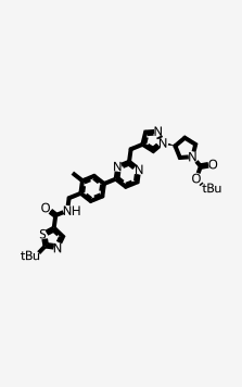 Cc1cc(-c2ccnc(Cc3cnn([C@@H]4CCN(C(=O)OC(C)(C)C)C4)c3)n2)ccc1CNC(=O)c1cnc(C(C)(C)C)s1